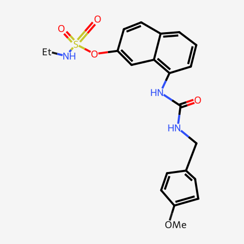 CCNS(=O)(=O)Oc1ccc2cccc(NC(=O)NCc3ccc(OC)cc3)c2c1